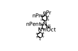 CCCCCCCCC(=N\c1ccccc1)/C(CCCCC)=N/c1ccc(CCC)c(CCC)c1.[Ni]